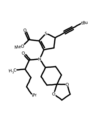 COC(=O)C1=C(N(C(=O)C(C)CCC(C)C)C2CCC3(CC2)OCCO3)CC(C#CC(C)(C)C)S1